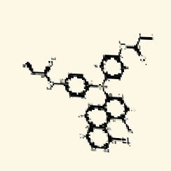 C=CC(=O)Oc1ccc(N(c2ccc(OC(=O)C=C)cc2)c2ccc(C)c3c2ccc2cccc(CC)c23)cc1